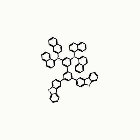 c1ccc2cc(N(c3cc(-c4cc(-c5ccc6oc7ccccc7c6c5)cc(-c5ccc6sc7ccccc7c6c5)c4)cc(N(c4cccc5ccccc45)c4cccc5ccccc45)c3)c3cccc4ccccc34)ccc2c1